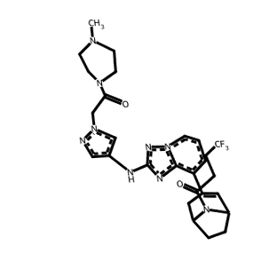 CN1CCN(C(=O)Cn2cc(Nc3nc4c(C5=CC6CCC(C5)N6C(=O)CCC(F)(F)F)cccn4n3)cn2)CC1